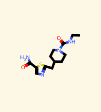 CCNC(=O)N1CCC(Cc2ncc(C(N)=O)s2)CC1